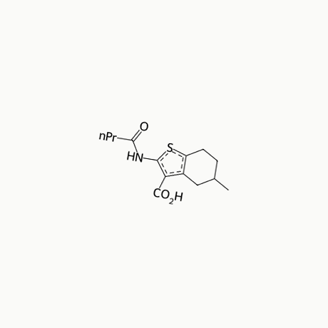 CCCC(=O)Nc1sc2c(c1C(=O)O)CC(C)CC2